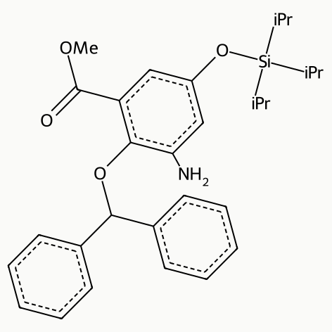 COC(=O)c1cc(O[Si](C(C)C)(C(C)C)C(C)C)cc(N)c1OC(c1ccccc1)c1ccccc1